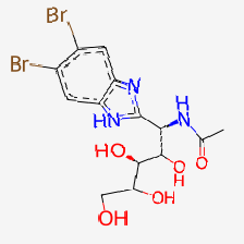 CC(=O)N[C@H](c1nc2cc(Br)c(Br)cc2[nH]1)C(O)[C@H](O)C(O)CO